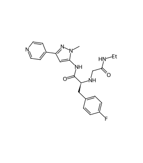 CCNC(=O)CN[C@@H](Cc1ccc(F)cc1)C(=O)Nc1cc(-c2ccncc2)nn1C